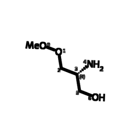 COOC[C@H](N)CO